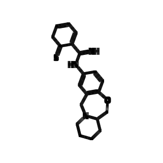 N=C(Nc1ccc2c(c1)CN1CCCCC1CO2)C1=CC=CCC1=S